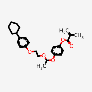 C=C(C)C(=O)Oc1ccc(OC(C)OCCOc2ccc(C3CCCCC3)cc2)cc1